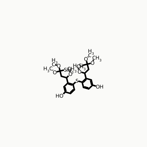 COC(CC([SiH3])(OC)OC)c1cc(O)ccc1Sc1ccc(O)cc1C(CC([SiH3])(OC)OC)OC